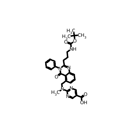 CN(Cc1cccc2nc(CCCNC(=O)OC(C)(C)C)n(-c3ccccc3)c(=O)c12)c1ncc(C(=O)O)cn1